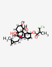 CC(CF)C(=O)Oc1ccc2c3c1O[C@H]1C(=O)CC[C@@]4(O)[C@@H](C2)N(CC2CC2C)CC[C@]314